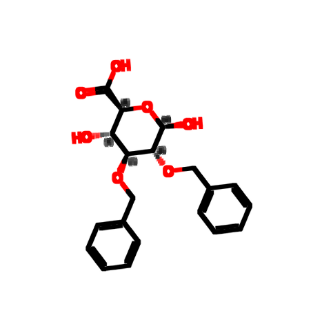 O=C(O)[C@H]1O[C@@H](O)[C@H](OCc2ccccc2)[C@@H](OCc2ccccc2)[C@@H]1O